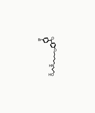 O=C(c1ccc(Br)cc1)c1ccc(OCCCCCCNCCCO)cc1